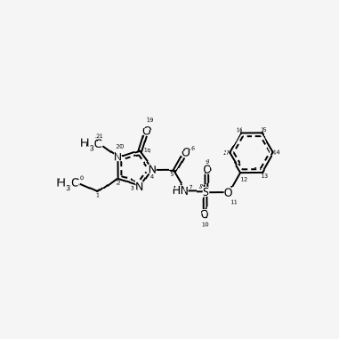 CCc1nn(C(=O)NS(=O)(=O)Oc2ccccc2)c(=O)n1C